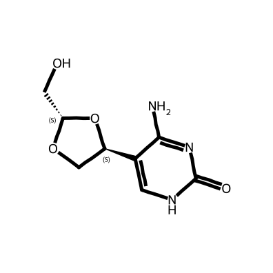 Nc1nc(=O)[nH]cc1[C@H]1CO[C@H](CO)O1